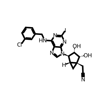 N#CC[C@@]12C[C@@H]1[C@@H](n1cnc3c(NCc4cccc(Cl)c4)nc(I)nc31)[C@H](O)[C@@H]2O